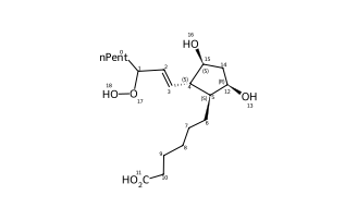 CCCCCC(C=C[C@H]1[C@H](CCCCCC(=O)O)[C@H](O)C[C@@H]1O)OO